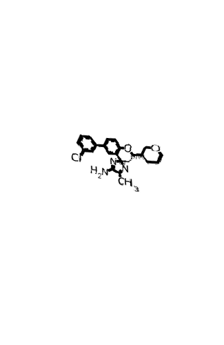 CC1=N[C@]2(C[C@@H]([C@@H]3CCCOC3)Oc3ccc(-c4cccc(Cl)c4)cc32)N=C1N